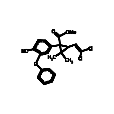 COC(=O)C1(c2ccc(C#N)c(Oc3ccccc3)c2)C(C=C(Cl)Cl)C1(C)C